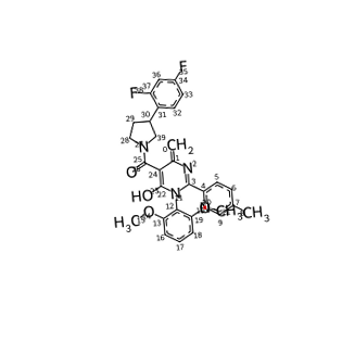 C=C1N=C(c2ccc(C)cn2)N(c2c(OC)cccc2OC)C(O)=C1C(=O)N1CCC(c2ccc(F)cc2F)C1